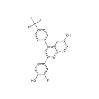 Oc1ccc2nc(-c3ccc(O)c(F)c3)cc(-c3ccc(C(F)(F)F)cc3)c2c1